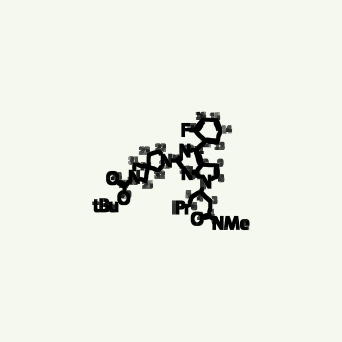 CNC(=O)CC(CC(C)C)n1ccc2c(-c3ccccc3F)nc(N3CCC4(CN(C(=O)OC(C)(C)C)C4)C3)nc21